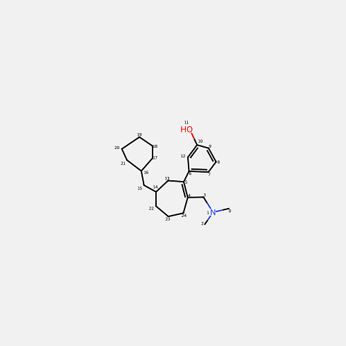 CN(C)CC1=C(c2cccc(O)c2)CC(CC2CCCCC2)CCC1